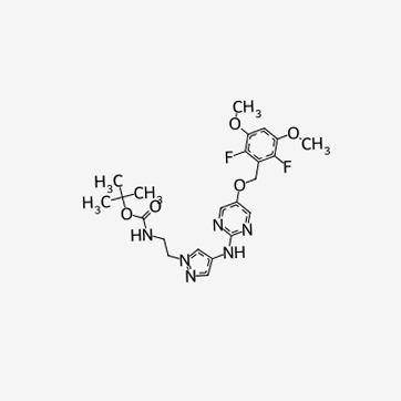 COc1cc(OC)c(F)c(COc2cnc(Nc3cnn(CCNC(=O)OC(C)(C)C)c3)nc2)c1F